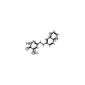 O=c1[nH]nc(CCc2ccc3nccnc3c2)cc1O